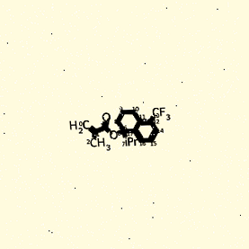 C=C(C)C(=O)OC1(C(C)C)CCCc2c(C(F)(F)F)cccc21